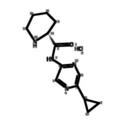 Cl.O=C(Nc1cnc(C2CC2)cn1)[C@H]1CCCCN1